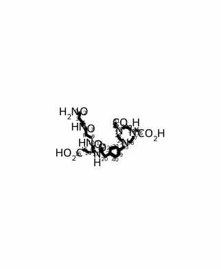 NC(=O)CCNC(=O)CCNC(=O)[C@H](CCC(=O)O)NC(=O)Cc1ccc(CN2CCN(CC(=O)O)CCN(CC(=O)O)CC2)cc1